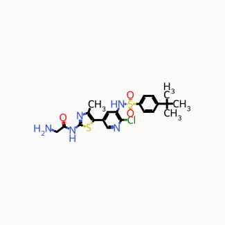 Cc1nc(NC(=O)CN)sc1-c1cnc(Cl)c(NS(=O)(=O)c2ccc(C(C)(C)C)cc2)c1